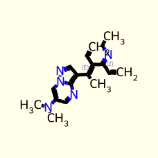 C=CC(=N/CC)/C(C=C)=C(\C)c1cnn2cc(N(C)C)cnc12